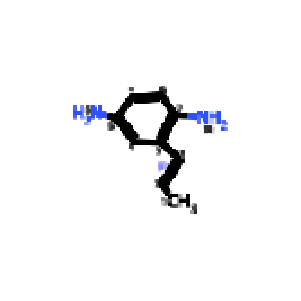 C/C=C/c1cc(N)ccc1N